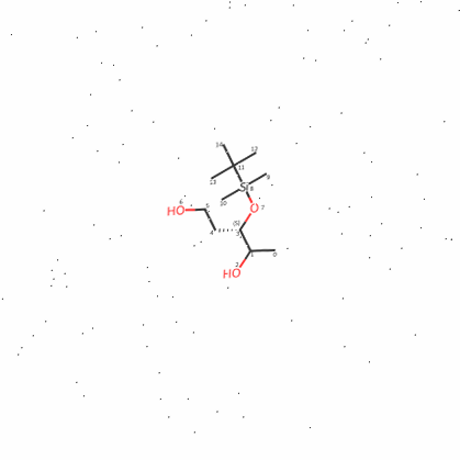 CC(O)[C@H](CCO)O[Si](C)(C)C(C)(C)C